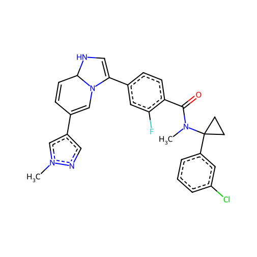 CN(C(=O)c1ccc(C2=CNC3C=CC(c4cnn(C)c4)=CN23)cc1F)C1(c2cccc(Cl)c2)CC1